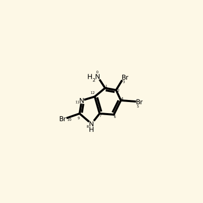 Nc1c(Br)c(Br)cc2[nH]c(Br)nc12